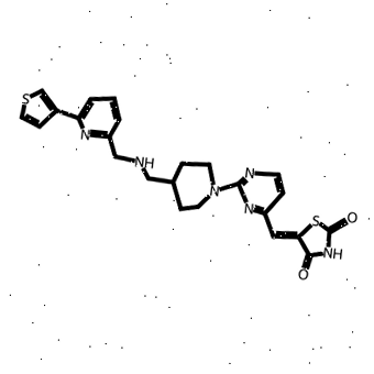 O=C1NC(=O)/C(=C/c2ccnc(N3CCC(CNCc4cccc(-c5ccsc5)n4)CC3)n2)S1